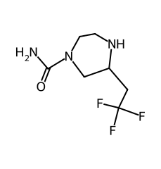 NC(=O)N1CCNC(CC(F)(F)F)C1